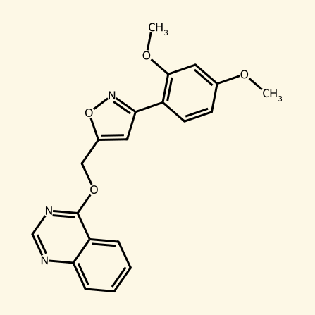 COc1ccc(-c2cc(COc3ncnc4ccccc34)on2)c(OC)c1